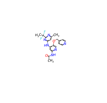 CC(=O)Nc1cc(Nc2cc(C)nc(C(C)(F)F)n2)c(OCc2ccncc2)cn1